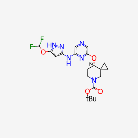 CC(C)(C)OC(=O)N1CC[C@H](Oc2cncc(Nc3cc(OC(F)F)[nH]n3)n2)C2(CC2)C1